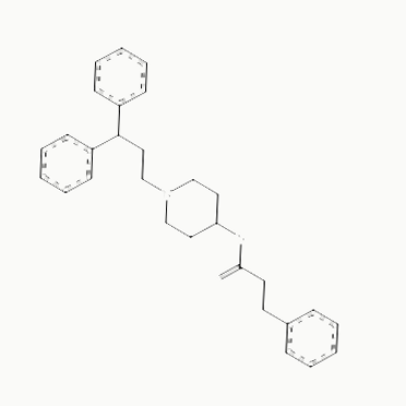 O=C(CCc1ccccc1)NC1CCN(CCC(c2ccccc2)c2ccccc2)CC1